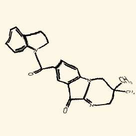 CC1(C)CN=C2C(=O)c3cc(C(=O)N4CCc5ccccc54)ccc3N2C1